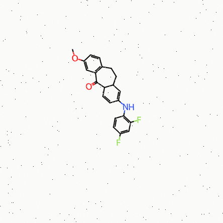 COc1ccc2c(c1)C(=O)C1C=CC(Nc3ccc(F)cc3F)=CC1CC2